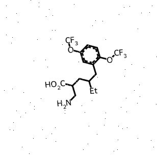 CCC(Cc1cc(OC(F)(F)F)ccc1OC(F)(F)F)CC(CN)C(=O)O